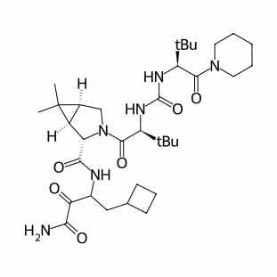 CC(C)(C)[C@H](NC(=O)N[C@H](C(=O)N1C[C@H]2[C@@H]([C@H]1C(=O)NC(CC1CCC1)C(=O)C(N)=O)C2(C)C)C(C)(C)C)C(=O)N1CCCCC1